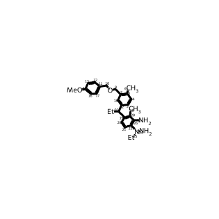 CCC(c1ccc(C)c(COCc2ccc(OC)cc2)c1)c1ccc(N(N)CC)c(N)c1C